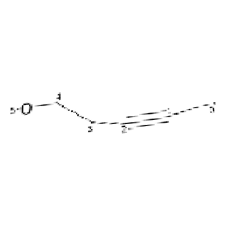 [CH2]C#CCC[O]